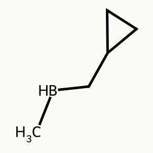 CBCC1CC1